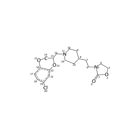 O=C1OCCN1CCC1CCN(CC2COc3ccc(Cl)cc3O2)CC1